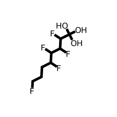 OC(O)(O)C(F)C(F)C(F)C(F)CCCF